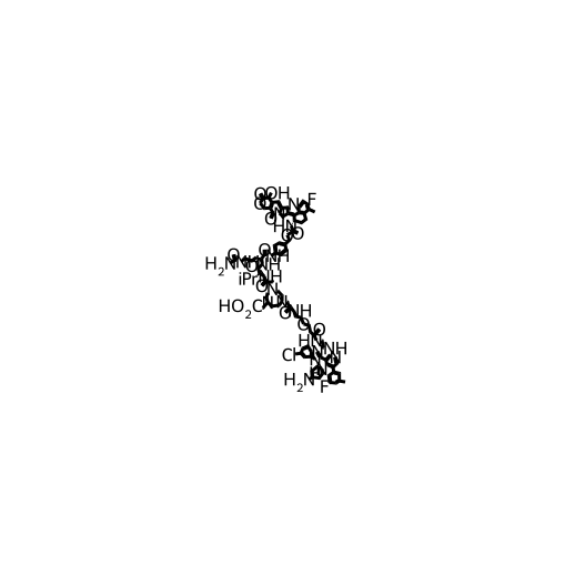 Cc1cc(F)cc(-c2cnc(NCCNC(=O)CCOCCNC(=O)CN3CCN(CC(=O)O)CCN(CC(=O)N[C@H](C(=O)N[C@@H](CCCNC(N)=O)C(=O)Nc4ccc(COC(=O)N[C@H]5CCc6c(C)c(F)cc7nc8c(c5c67)Cn5c-8cc6c(c5=O)COC(=O)C6O)cc4)C(C)C)CC3)c(-c3nc4ccc(Cl)cc4[nH]3)c2N2CCC(N)CC2)c1